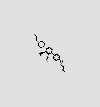 CCCCOc1ccc(-c2ccc([C@H]3CC[C@H](CCC)CC3)c(C#N)c2C#N)cc1